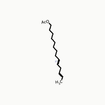 CC=CC/C=C/CCCCCCCCOC(C)=O